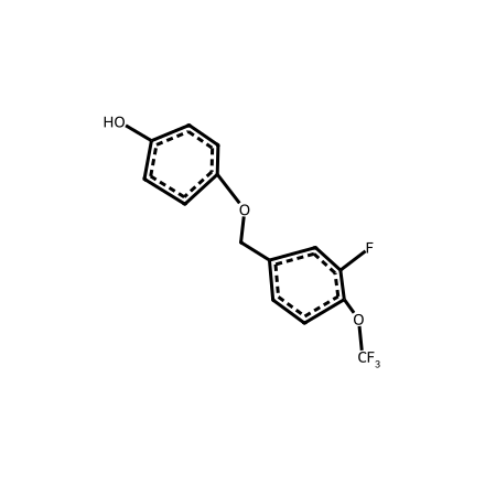 Oc1ccc(OCc2ccc(OC(F)(F)F)c(F)c2)cc1